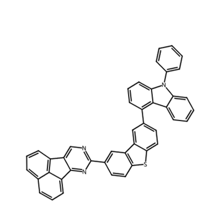 c1ccc(-n2c3ccccc3c3c(-c4ccc5sc6ccc(-c7ncc8c(n7)-c7cccc9cccc-8c79)cc6c5c4)cccc32)cc1